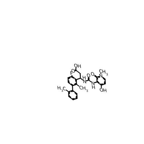 Cc1ccccc1-c1ccc(F)c(C(CC(=O)O)NC(=O)Nc2c(O)ccn(C)c2=O)c1C